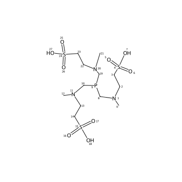 CN(CCS(=O)(=O)O)CP(CN(C)CCS(=O)(=O)O)CN(C)CCS(=O)(=O)O